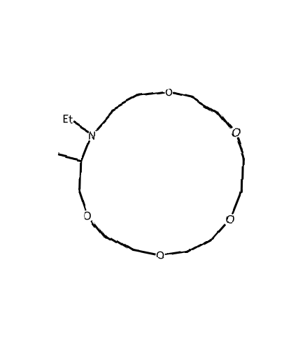 CCN1CCOCCOCCOCCOCCOCC1C